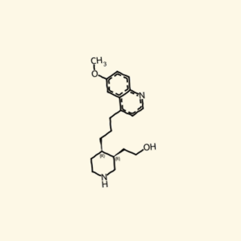 COc1ccc2nccc(CCC[C@@H]3CCNC[C@@H]3CCO)c2c1